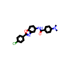 CN(C)c1ccc(C(=O)Nc2ccc3oc(-c4ccc(Cl)cc4)nc3c2)cc1